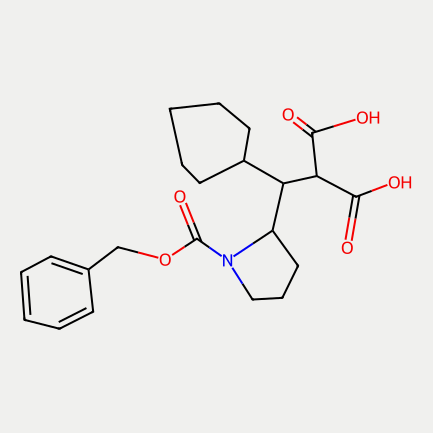 O=C(O)C(C(=O)O)C(C1CCCCC1)C1CCCN1C(=O)OCc1ccccc1